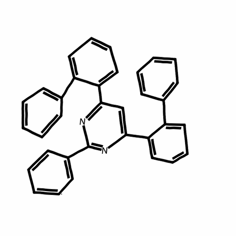 [c]1cccc(-c2nc(-c3ccccc3-c3ccccc3)cc(-c3ccccc3-c3ccccc3)n2)c1